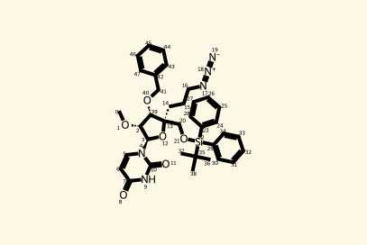 CO[C@H]1[C@H](n2ccc(=O)[nH]c2=O)O[C@](CCCN=[N+]=[N-])(CO[Si](c2ccccc2)(c2ccccc2)C(C)(C)C)[C@H]1OCc1ccccc1